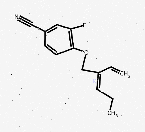 C=C/C(=C\CC)COc1ccc(C#N)cc1F